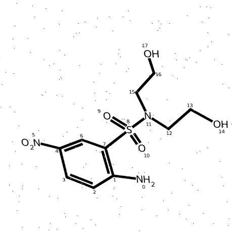 Nc1ccc([N+](=O)[O-])cc1S(=O)(=O)N(CCO)CCO